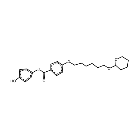 O=C(Oc1ccc(O)cc1)c1ccc(OCCCCCCOC2CCCCO2)cc1